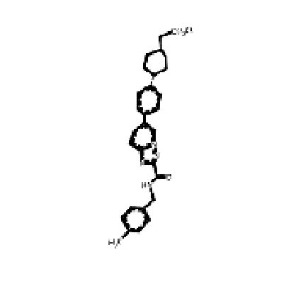 CCOC(=O)C[C@H]1CC[C@H](c2ccc(-c3ccc4nc(C(=O)NCc5ccc(C)cc5)nn4c3)cc2)CC1